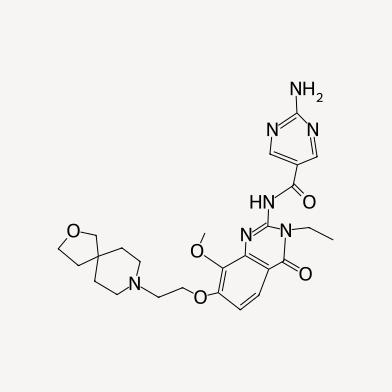 CCn1c(NC(=O)c2cnc(N)nc2)nc2c(OC)c(OCCN3CCC4(CCOC4)CC3)ccc2c1=O